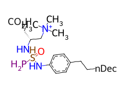 CCCCCCCCCCCCc1ccc(N[SH](=O)(P)N[C@H](CC(=O)O)C[N+](C)(C)C)cc1